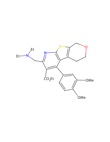 CCOC(=O)c1c(CN(CC)CC)nc2sc3c(c2c1-c1ccc(OC)c(OC)c1)CCOC3